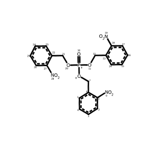 O=[N+]([O-])c1ccccc1COP(=O)(OCc1ccccc1[N+](=O)[O-])OCc1ccccc1[N+](=O)[O-]